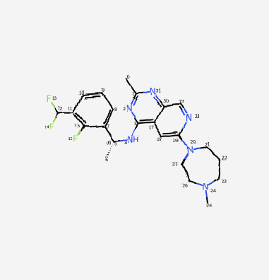 Cc1nc(N[C@H](C)c2cccc(C(F)F)c2F)c2cc(N3CCCN(C)CC3)ncc2n1